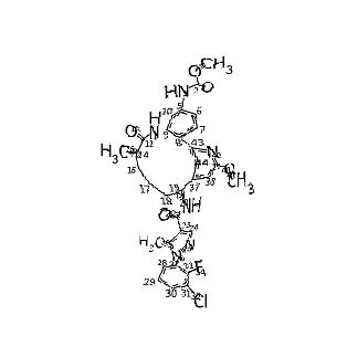 COC(=O)Nc1ccc2c(c1)NC(=O)[C@H](C)CCC[C@H](NC(=O)c1cnn(-c3cccc(Cl)c3F)c1C)c1cc(OC)nc-2c1